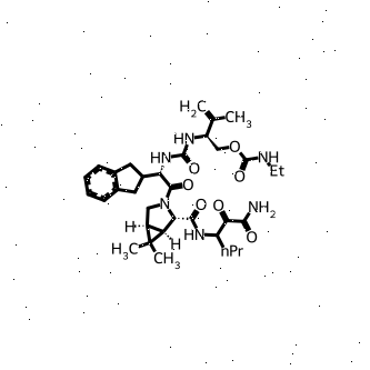 C=C(C)[C@@H](COC(=O)NCC)NC(=O)N[C@H](C(=O)N1C[C@H]2[C@@H]([C@H]1C(=O)NC(CCC)C(=O)C(N)=O)C2(C)C)C1Cc2ccccc2C1